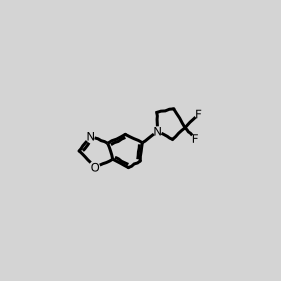 FC1(F)CCN(c2ccc3ocnc3c2)C1